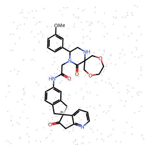 COc1cccc(C2CNC3(COCCOC3)C(=O)N2CC(=O)Nc2ccc3c(c2)C[C@@]2(C3)C(=O)Cc3ncccc32)c1